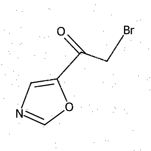 O=C(CBr)c1cnco1